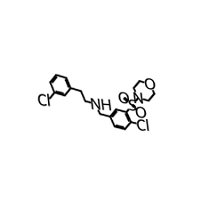 O=S(=O)(c1cc(CNCCc2cccc(Cl)c2)ccc1Cl)N1CCOCC1